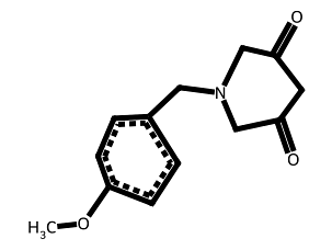 COc1ccc(CN2CC(=O)CC(=O)C2)cc1